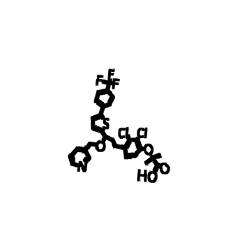 CC(C)(Oc1ccc(CCC(OCc2cccnc2)c2ccc(-c3ccc(C(F)(F)F)cc3)s2)c(Cl)c1Cl)C(=O)O